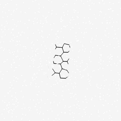 CC(C)C1CCOCC1C1COCC(C2COCCC2C(C)C)C1C(C)C